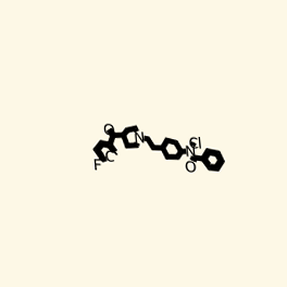 O=C(c1ccc(F)cc1)C1CCN(CCC2CCC(N(Cl)C(=O)c3ccccc3)CC2)CC1